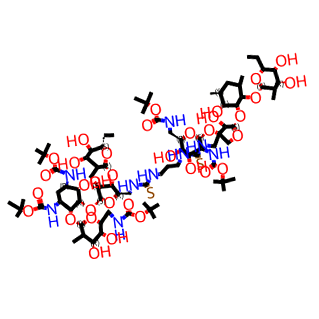 CCC1O[C@@H](OC2C(C)C[C@H](C)[C@H](O)C2O[C@@H]2OCC(CNC(=S)NCCCNC(=S)NC[C@H]3O[C@@H](O[C@H]4C(O[C@H]5OC(CNC(=O)OC(C)(C)C)C(O)[C@H](O)C5C)C(NC(=O)OC(C)(C)C)C[C@@H](NC(=O)OC(C)(C)C)C4O)[C@@H](O)C3O[C@H]3O[C@@H](CC)C(O)C(O)C3C)(O[C@@H]3O[C@H](CNC(=O)OC(C)(C)C)C(O)C(O)C3NC(=O)OC(C)(C)C)C2O)C(C)[C@@H](O)C1O